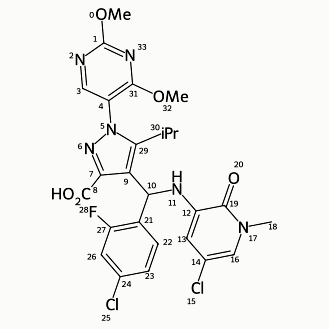 COc1ncc(-n2nc(C(=O)O)c(C(Nc3cc(Cl)cn(C)c3=O)c3ccc(Cl)cc3F)c2C(C)C)c(OC)n1